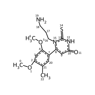 COc1cc(OC)c(-c2cc(=O)[nH]c(=S)n2CCCN)cc1C